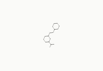 CC(C)C1CCCC(CCC2CCCCC2)C1